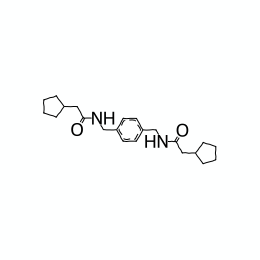 O=C(CC1CCCC1)NCc1ccc(CNC(=O)CC2CCCC2)cc1